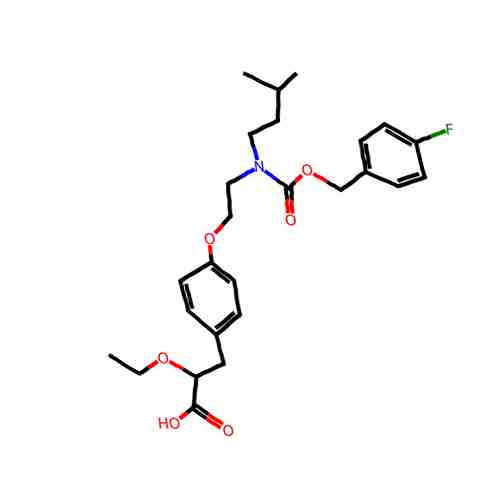 CCOC(Cc1ccc(OCCN(CCC(C)C)C(=O)OCc2ccc(F)cc2)cc1)C(=O)O